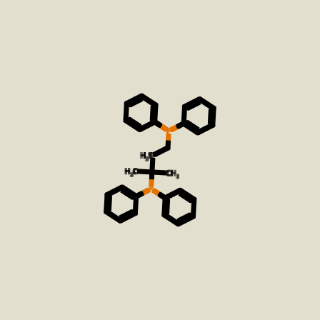 CC(C)([SiH2]CP(c1ccccc1)c1ccccc1)P(c1ccccc1)c1ccccc1